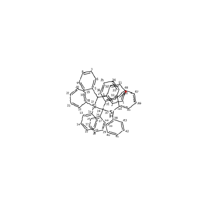 c1ccc(C(c2ccccc2)[Si](c2ccccc2)(c2ccccc2)C(c2ccccc2)(c2ccccc2)[SiH](c2ccccc2)c2ccccc2)cc1